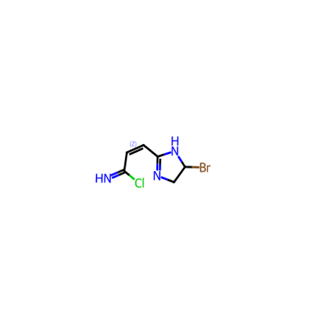 N=C(Cl)/C=C\C1=NCC(Br)N1